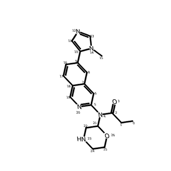 CCC(=O)N(c1cc2cc(-c3cncn3C)ccc2cn1)C1CNCCO1